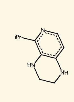 CC(C)c1nccc2c1NCCN2